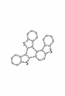 c1ccc2c(c1)sc1c3ccc4sc5ccccc5c4c3c3c4ccccc4sc3c21